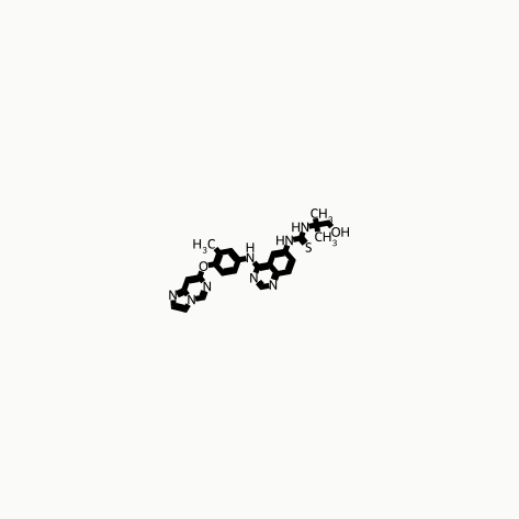 Cc1cc(Nc2ncnc3ccc(NC(=S)NC(C)(C)CO)cc23)ccc1Oc1cc2nccn2cn1